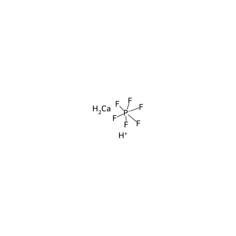 F[P-](F)(F)(F)(F)F.[CaH2].[H+]